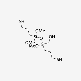 CO[Si](CO)(CCCS)O[Si](CCCS)(OC)OC